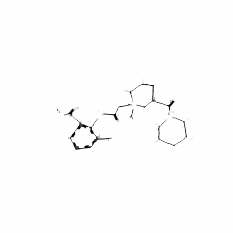 CC[N+]1(CC(=O)Nc2c(C)cccc2C(=O)OC)CCCC(C(=O)N2CCCCC2)C1